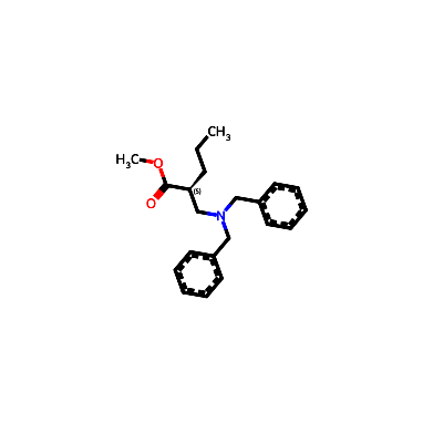 CCC[C@@H](CN(Cc1ccccc1)Cc1ccccc1)C(=O)OC